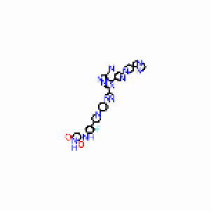 CCC1(c2ncccn2)CCN(c2ccc(-c3nc(-c4cnn(C5CCC(N6CCC(c7ccc(N[C@H]8CCC(=O)NC8=O)cc7F)CC6)CC5)c4)cn4ncc(C#N)c34)cn2)CC1